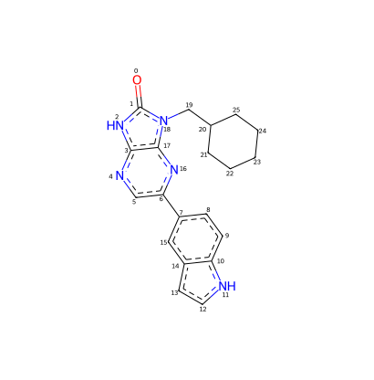 O=c1[nH]c2ncc(-c3ccc4[nH]ccc4c3)nc2n1CC1CCCCC1